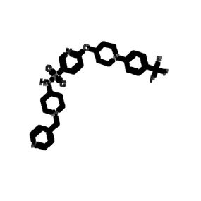 O=S(=O)(NC1CCN(Cc2ccncc2)CC1)c1ccc(OC2CCN(c3ccc(C(F)(F)F)cc3)CC2)nc1